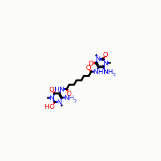 CN1C(=O)C(NC(=O)CCCCCCC(=O)Nc2c(N)n(C)c(=O)n(C)c2=O)=C(N)N(C)C1O